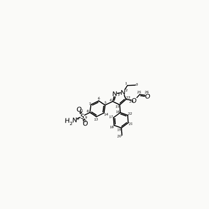 CCn1nc(-c2ccc(S(N)(=O)=O)cc2)c(-c2ccc(C)cc2)c1OC=O